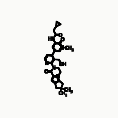 Cn1cc(-c2ccnc(N3CCn4c(cc5c4CC(C)(C)C5)C3=O)c2CO)cc(NC(=O)CC2CC2)c1=O